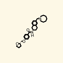 O=C(N[C@H]1CCc2cc(CN3CCCCCCC3)ccc2C1)c1ccc(OC[C@@H]2CCCO2)cc1